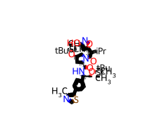 Cc1ncsc1-c1ccc([C@H](CO[Si](C)(C)C(C)(C)C)NC(=O)[C@@H]2C[C@@H](O[Si](C)(C)C(C)(C)C)CN2C(=O)C(c2cc(O)no2)C(C)C)cc1